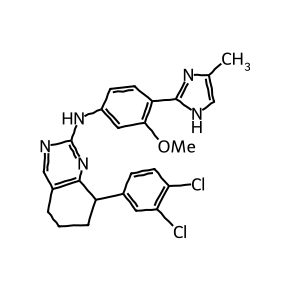 COc1cc(Nc2ncc3c(n2)C(c2ccc(Cl)c(Cl)c2)CCC3)ccc1-c1nc(C)c[nH]1